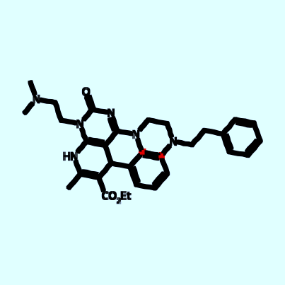 CCOC(=O)C1=C(C)Nc2c(c(N3CCN(CCc4ccccc4)CC3)nc(=O)n2CCN(C)C)C1c1ccccc1